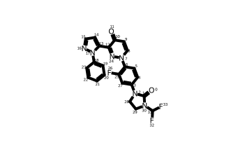 O=C1N(c2ccc(-n3ccc(=O)c(-c4ccnn4-c4ccccc4)n3)c(F)c2)CCN1C(F)F